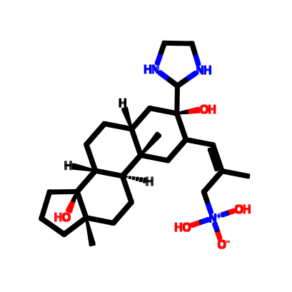 CC(=CC1C[C@@]2(C)[C@H](CC[C@@H]3[C@@H]2CC[C@]2(C)CCC[C@]32O)C[C@]1(O)C1NCCN1)C[N+]([O-])(O)O